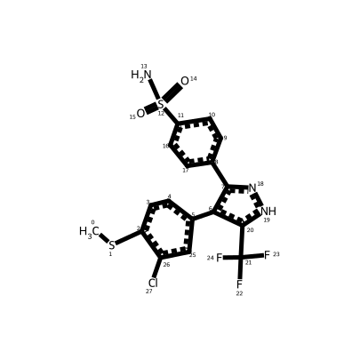 CSc1ccc(-c2c(-c3ccc(S(N)(=O)=O)cc3)n[nH]c2C(F)(F)F)cc1Cl